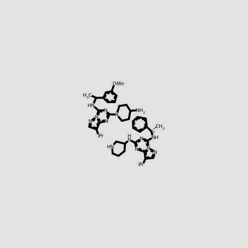 CC(C)c1cnn2c(N[C@@H](C)c3ccccc3)nc(NC3CCCNC3)nc12.COc1cccc(C(C)Nc2nc(N3CCC(N)CC3)nc3c(C(C)C)cnn23)c1